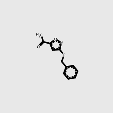 CC(=O)c1cc(OCc2ccccc2)no1